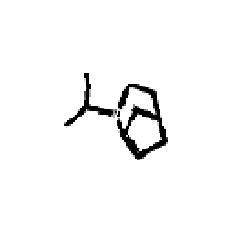 CC(C)N1CCC2CC=C1C2